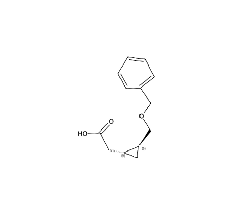 O=C(O)C[C@H]1C[C@@H]1COCc1ccccc1